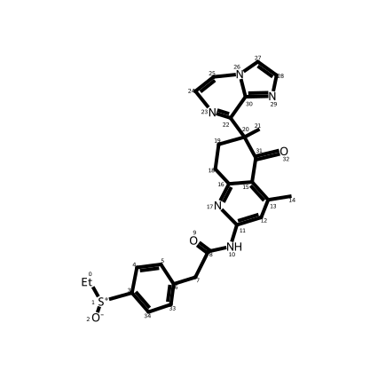 CC[S+]([O-])c1ccc(CC(=O)Nc2cc(C)c3c(n2)CCC(C)(c2nccn4ccnc24)C3=O)cc1